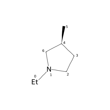 CCN1CC[C@H](C)C1